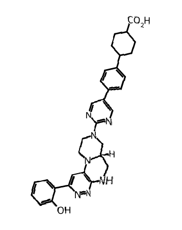 O=C(O)C1CCC(c2ccc(-c3cnc(N4CCN5c6cc(-c7ccccc7O)nnc6NC[C@H]5C4)nc3)cc2)CC1